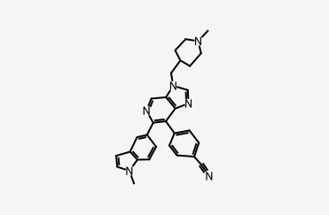 CN1CCC(Cn2cnc3c(-c4ccc(C#N)cc4)c(-c4ccc5c(ccn5C)c4)ncc32)CC1